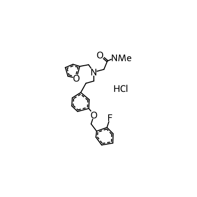 CNC(=O)CN(CCc1cccc(OCc2ccccc2F)c1)Cc1ccco1.Cl